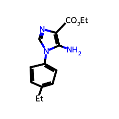 CCOC(=O)c1ncn(-c2ccc(CC)cc2)c1N